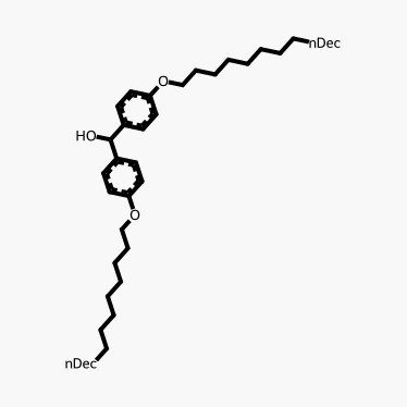 CCCCCCCCCCCCCCCCCCOc1ccc(C(O)c2ccc(OCCCCCCCCCCCCCCCCCC)cc2)cc1